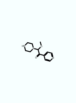 COC(C(=O)c1ccncc1)N1CCNCC1